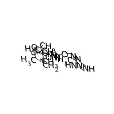 C=C[C@@]1(C)CC(C)C2CCC(=O)C2[C@@](C)(C(C)CC)C(OC(=O)Cn2cc(-c3ccc(Cn4cnc(C(=N)N5CCNCC5)c4C)cc3)nn2)C1